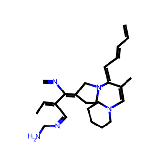 C=C/C=C/C=C(\C(C)=C/N1CCCCC1)N1CC/C(=C(/N=C)C(=CC)/C=N\CN)C1